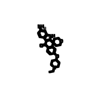 CCN1CCC(Oc2ccc3c(c2)C2(CCOCC2)c2[nH]c4cc(N)ccc4c2C3=O)CC1